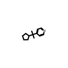 CC(C)(c1ccncc1)C1CCCC1